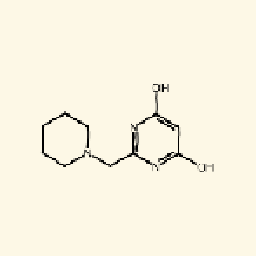 Oc1cc(O)nc(CN2CCCCC2)n1